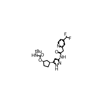 CC(C)(C)NC(=O)O[C@@H]1CC[C@H](c2cc(NC(=O)Cc3cc(C(F)F)ccn3)n[nH]2)C1